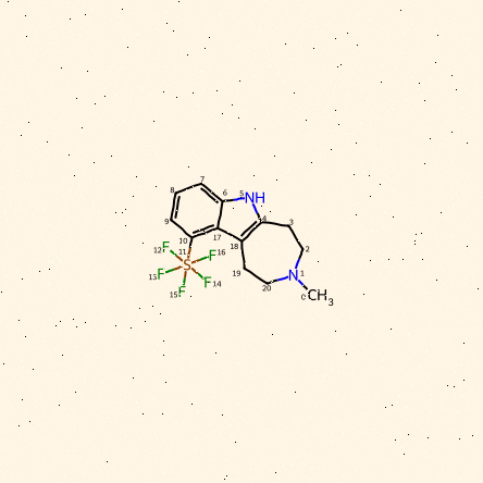 CN1CCc2[nH]c3cccc(S(F)(F)(F)(F)F)c3c2CC1